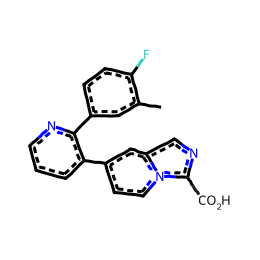 Cc1cc(-c2ncccc2-c2ccn3c(C(=O)O)ncc3c2)ccc1F